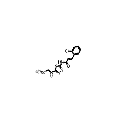 CCCCCCCCCCCNc1nnc(NC(=O)C=Cc2ccccc2Cl)s1